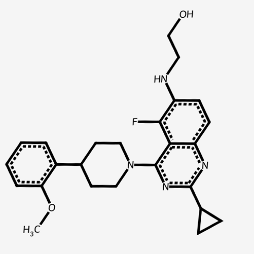 COc1ccccc1C1CCN(c2nc(C3CC3)nc3ccc(NCCO)c(F)c23)CC1